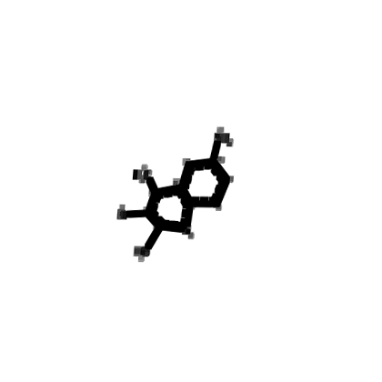 Cc1c(Br)c(O)nc2ccc(N)cc12